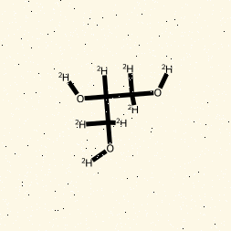 [2H]OC([2H])([2H])C([2H])(O[2H])C([2H])([2H])O[2H]